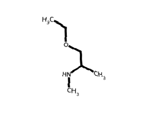 CCOCC(C)NC